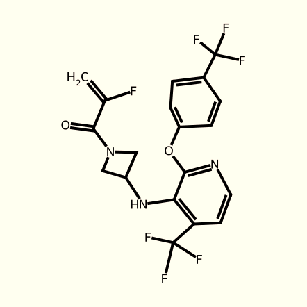 C=C(F)C(=O)N1CC(Nc2c(C(F)(F)F)ccnc2Oc2ccc(C(F)(F)F)cc2)C1